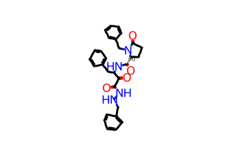 O=C(NNCc1ccccc1)C(=O)C(Cc1ccccc1)NC(=O)[C@H]1CCC(=O)N1Cc1ccccc1